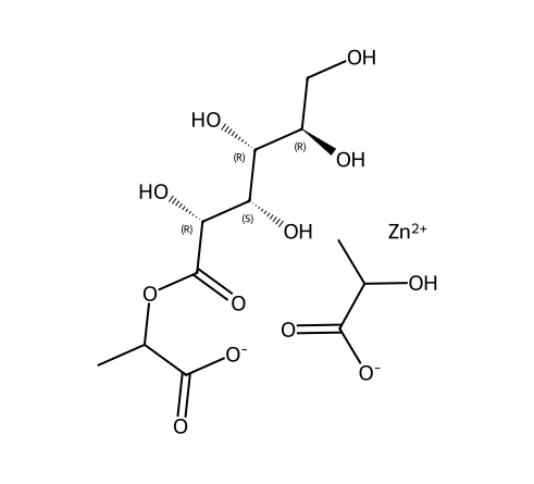 CC(O)C(=O)[O-].CC(OC(=O)[C@H](O)[C@@H](O)[C@H](O)[C@H](O)CO)C(=O)[O-].[Zn+2]